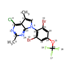 Cc1nc(Cl)c2c(C)cn(-c3c(Br)cc(OC(F)(F)F)cc3Br)c2n1